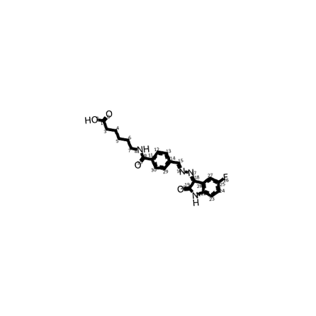 O=C(O)CCCCCNC(=O)c1ccc(/C=N/N=C2\C(=O)Nc3ccc(F)cc32)cc1